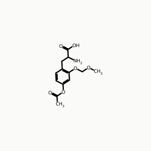 COCOc1cc(OC(C)=O)ccc1CC(N)C(=O)O